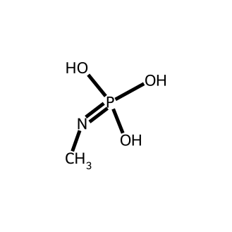 CN=P(O)(O)O